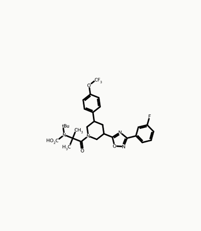 CC(C)(C)N(C(=O)O)C(C)(C)C(=O)N1CC(c2ccc(OC(F)(F)F)cc2)CC(c2nc(-c3cccc(F)c3)no2)C1